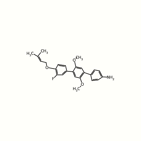 COc1cc(-c2ccc(OCC=C(C)C)c(F)c2)c(OC)cc1-c1ccc(N)cc1